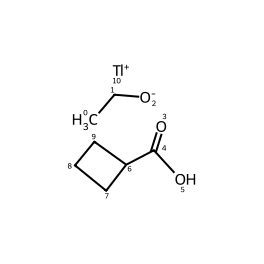 CC[O-].O=C(O)C1CCC1.[Tl+]